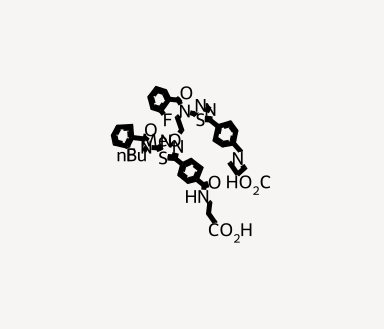 CCCCN(C(=O)c1ccccc1F)c1nnc(-c2ccc(C(=O)NCCCC(=O)O)cc2)s1.COCCN(C(=O)c1ccccc1F)c1nnc(-c2ccc(CN3CC(C(=O)O)C3)cc2)s1